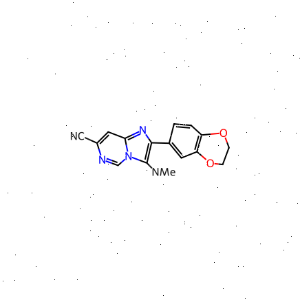 CNc1c(-c2ccc3c(c2)OCCO3)nc2cc(C#N)ncn12